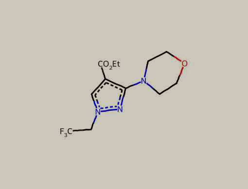 CCOC(=O)c1cn(CC(F)(F)F)nc1N1CCOCC1